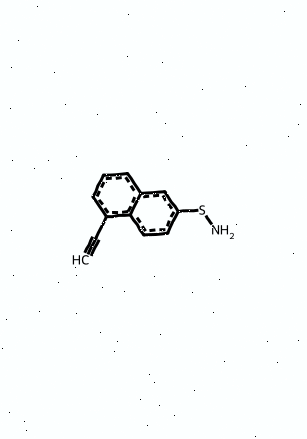 C#Cc1cccc2cc(SN)ccc12